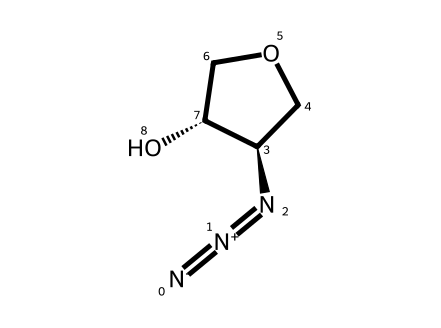 [N-]=[N+]=N[C@@H]1COC[C@H]1O